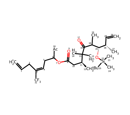 C=CC/C(=C\CC(OC(=O)C[C@H](C)C(C)(C)C(=O)C(C)[C@@H](O[Si](C)(C)C(C)(C)C)[C@@H](C)C=C)C(C)=O)C(F)(F)F